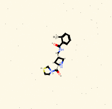 Cc1ccccc1C(=O)NC[C@@H]1CN[C@H](C(=O)N2CCSC2)C1